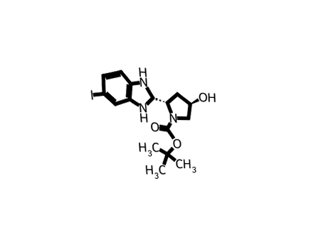 CC(C)(C)OC(=O)N1C[C@H](O)C[C@H]1C1Nc2ccc(I)cc2N1